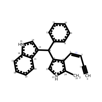 C#C/C=C\c1c(C(c2ccccc2)c2c[nH]c3ccccc23)c[nH]c1C